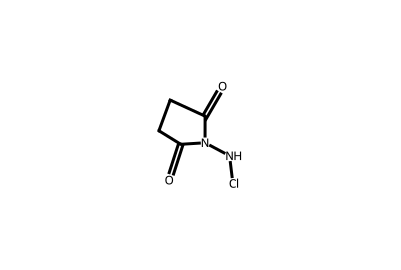 O=C1CCC(=O)N1NCl